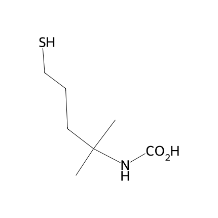 CC(C)(CCCS)NC(=O)O